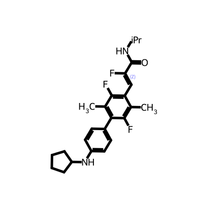 Cc1c(F)c(-c2ccc(NC3CCCC3)cc2)c(C)c(F)c1/C=C(\F)C(=O)NC(C)C